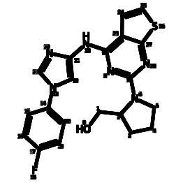 OCC1CCCN1c1nc(Nc2cn(-c3ccc(F)cc3)cn2)c2ccsc2n1